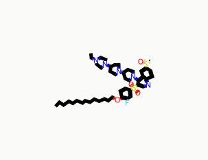 CCCCCCCCCCCCCCOc1ccc(S(=O)(=O)c2cnc3ccc([S@@+](C)[O-])cc3c2N2CCC(N3CCC(N4CCN(CC)CC4)CC3)CC2)cc1F